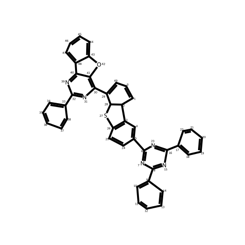 C1=CC2c3cc(-c4nc(-c5ccccc5)nc(-c5ccccc5)n4)ccc3SC2C(c2nc(-c3ccccc3)nc3c2oc2ccccc23)=C1